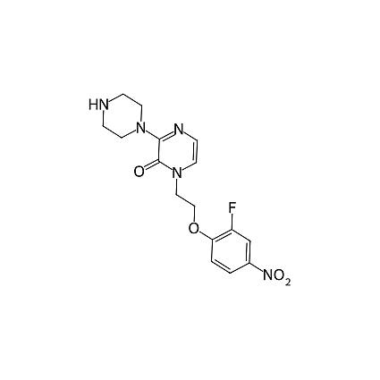 O=c1c(N2CCNCC2)nccn1CCOc1ccc([N+](=O)[O-])cc1F